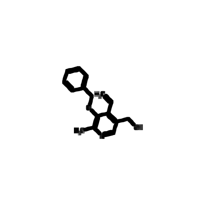 C=Cc1c(CO)cnc(C)c1OCc1ccccc1